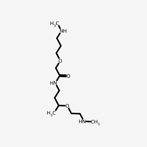 CNCCCOCC(=O)NCCC(C)OCCNC